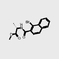 COC(=O)[C@H](C)NC(=O)c1ccc2ccccc2c1Br